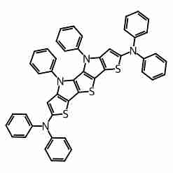 c1ccc(N(c2ccccc2)c2cc3c(s2)c2sc4c5sc(N(c6ccccc6)c6ccccc6)cc5n(-c5ccccc5)c4c2n3-c2ccccc2)cc1